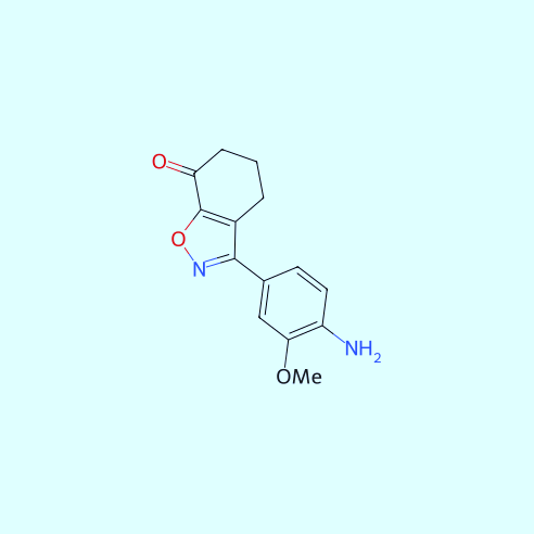 COc1cc(-c2noc3c2CCCC3=O)ccc1N